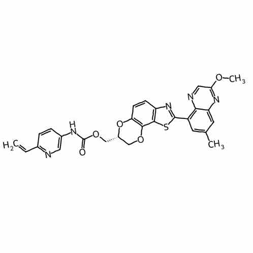 C=Cc1ccc(NC(=O)OC[C@H]2COc3c(ccc4nc(-c5cc(C)cc6nc(OC)cnc56)sc34)O2)cn1